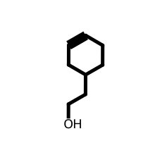 OCCC1CC#CCC1